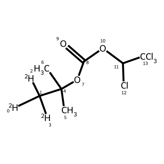 [2H]C([2H])([2H])C(C)(C)OC(=O)OC(Cl)C(Cl)(Cl)Cl